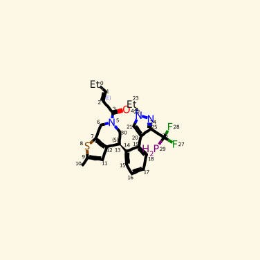 CC/C=C/C(=O)N1Cc2sc(C)cc2[C@H](c2ccccc2-c2cn(CC)nc2C(F)(F)P)C1